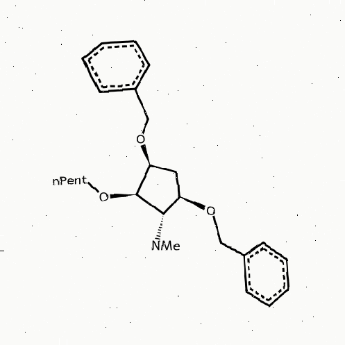 CCCCCO[C@@H]1[C@@H](NC)[C@H](OCc2ccccc2)C[C@@H]1OCc1ccccc1